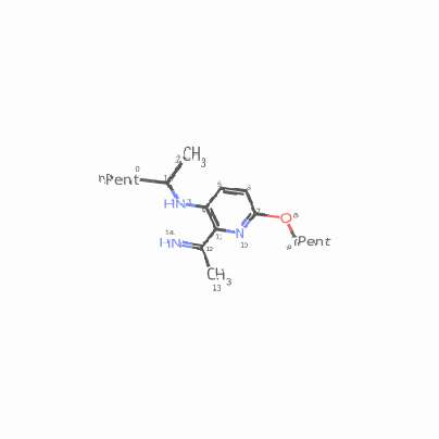 CCCCCC(C)Nc1ccc(OC(C)CCC)nc1C(C)=N